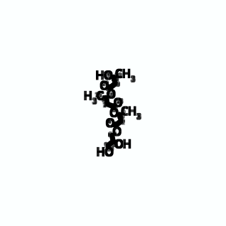 C[C@H](CC(=O)OCC(O)CO)OC(=O)C[C@@H](C)OC(=O)C[C@@H](C)O